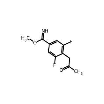 COC(=N)c1cc(F)c(CC(C)=O)c(F)c1